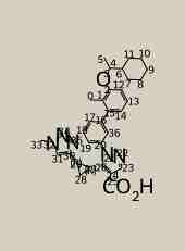 Cc1c(OC(C)C2CCCCC2)cccc1-c1cccc(-n2ncc(C(=O)O)c2[C@@H]2C[C@H]2c2cn(C)nn2)c1